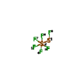 FSS(F)(F)(F)(F)F